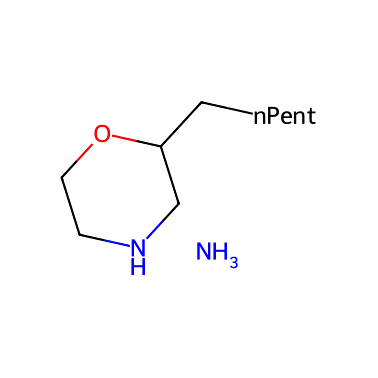 CCCCCCC1CNCCO1.N